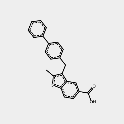 Cc1sc2ccc(C(=O)O)cc2c1Cc1ccc(-c2ccccc2)cc1